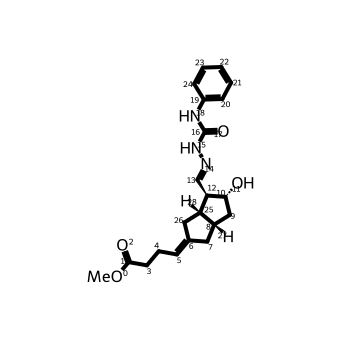 COC(=O)CC/C=C1/C[C@H]2C[C@@H](O)[C@H](C=NNC(=O)Nc3ccccc3)[C@H]2C1